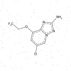 Nc1nc2c(OCC(F)(F)F)cc(Cl)cn2n1